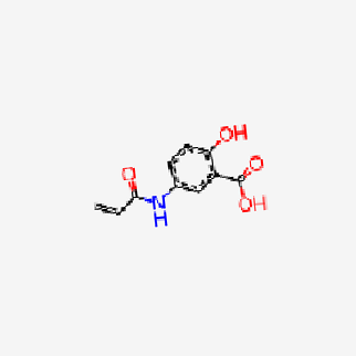 C=CC(=O)Nc1ccc(O)c(C(=O)O)c1